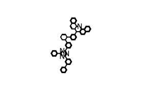 C1=CC(c2cccc(C3c4ccc5ccccc5c4N=C4c5ccccc5C=CC43)c2)C(c2cccc(-c3nc(-c4ccccc4)nc(-c4cccc(-c5ccccc5)c4)n3)c2)CC1